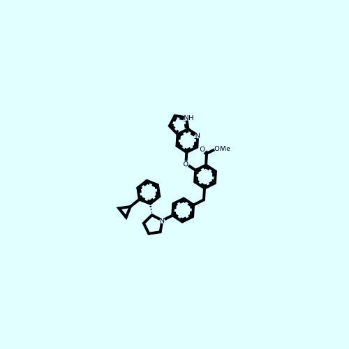 COC(=O)c1ccc(Cc2ccc(N3CCC[C@@H]3c3ccccc3C3CC3)cc2)cc1Oc1cnc2[nH]ccc2c1